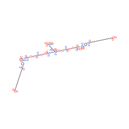 COC(=O)[C@H](CCC(=O)NCCOCCOCC(=O)NCCOCCOCC(=O)NCCCC[C@H](NC(=O)COCCOCCNC(=O)COCCOCCNC(=O)CC[C@H](NC(=O)[C@H]1CC[C@H](CNC(=O)CCCCCCCCCCCCCCCCCCC(=O)O)CC1)C(=O)O)C(=O)NCCCC[C@H](NP)C(=O)O)NC(=O)[C@H]1CC[C@H](CNC(=O)CCCCCCCCCCCCCCCCCCC(=O)O)CC1